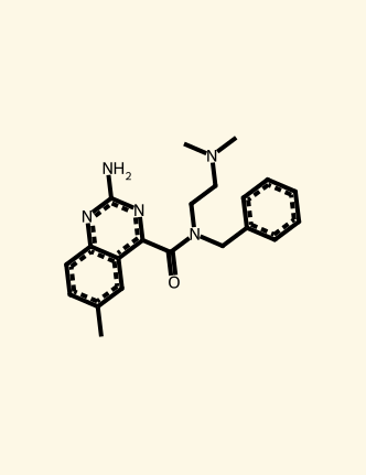 Cc1ccc2nc(N)nc(C(=O)N(CCN(C)C)Cc3ccccc3)c2c1